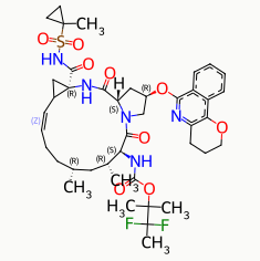 C[C@@H]1CC/C=C\C2C[C@@]2(C(=O)NS(=O)(=O)C2(C)CC2)NC(=O)[C@@H]2C[C@@H](Oc3nc4c(c5ccccc35)OCCC4)CN2C(=O)[C@@H](NC(=O)OC(C)(C)C(C)(F)F)[C@H](C)C1